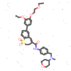 CCOCCOc1ccc(-c2ccc3c(c2)C=C(C(=O)Nc2ccc(CN(C)C4CCOCC4)cc2)CCS3(=O)=O)cc1OCC